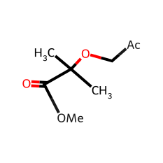 COC(=O)C(C)(C)OCC(C)=O